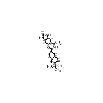 C[C@@H](NC(=O)c1ccc2nc(C(C)(C)C)ccc2c1)c1ccc2[nH]c(=O)[nH]c2c1